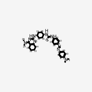 CN(C)c1ccc(N=Nc2ccc(NC(=S)N[C@H]3CC[C@@H](Nc4nc5c(c(N(C)C)n4)CCCC5)CC3)cc2)cc1